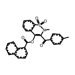 Cc1ccc(C(=O)C2=C(OC(=O)c3cccc4ccccc34)c3ccccc3S(=O)(=O)N2C)cc1